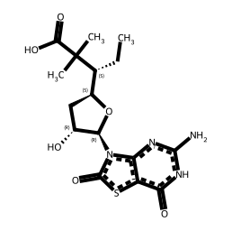 CC[C@H]([C@@H]1C[C@@H](O)[C@H](n2c(=O)sc3c(=O)[nH]c(N)nc32)O1)C(C)(C)C(=O)O